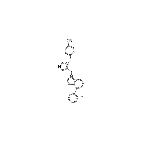 Cc1ccccc1-c1cccc2c1ccn2Cc1cncn1Cc1ccc(C#N)cc1